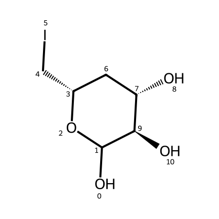 OC1O[C@H](CI)C[C@H](O)[C@H]1O